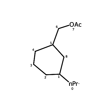 CC[CH]C1CCCC(COC(C)=O)C1